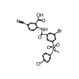 CN(c1ccc(Cl)cc1)S(=O)(=O)c1cc(Br)cc(C(=O)Nc2ccc(C#N)cc2C(=O)O)c1